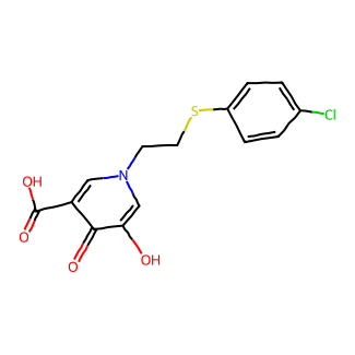 O=C(O)c1cn(CCSc2ccc(Cl)cc2)cc(O)c1=O